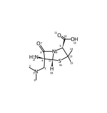 CN(C)C[C@]1(N)C(=O)N2[C@@H](C(=O)O)C(C)(C)S[C@@H]21